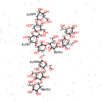 CC(=O)N[C@H]1[C@H](OC[C@H]2O[C@@H](O[C@H]3[C@H](O)[C@@H](NC(C)=O)[C@H](O[C@H]4[C@@H](O)[C@@H](CO)O[C@@H](O[C@H]5[C@H](O)[C@@H](O)[C@H](O)O[C@@H]5CO)[C@@H]4O)O[C@@H]3CO)[C@H](O)[C@@H](O[C@@H]3O[C@H](CO)[C@@H](O[C@@H]4O[C@H](CO)[C@H](O)[C@H](O[C@H]5O[C@H](CO)[C@H](O)[C@H](O)[C@H]5NC(C)=O)[C@H]4O)[C@H](O)[C@H]3NC(C)=O)[C@H]2O)O[C@H](CO)[C@@H](O[C@@H]2O[C@H](CO)[C@H](O)[C@H](O[C@H]3O[C@H](CO)[C@H](O)[C@H](O)[C@H]3NC(C)=O)[C@H]2O)[C@@H]1O